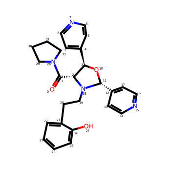 O=C([C@@H]1[C@@H](c2ccncc2)O[C@H](c2ccncc2)N1CCc1ccccc1O)N1CCCC1